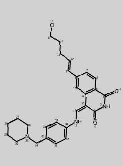 O=C1NC(=O)c2ccc(C=CCCCCl)cc2C1=CNc1ccc(CN2CCCCC2)cc1